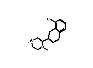 CN1CCNCC1C1CCc2cccc(Cl)c2C1